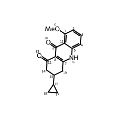 COc1cccc2[nH]c3c(c(=O)c12)C(=O)CC(C1CC1)C3